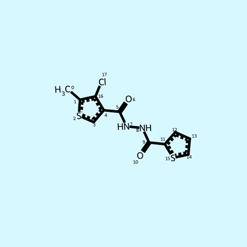 Cc1scc(C(=O)NNC(=O)c2cccs2)c1Cl